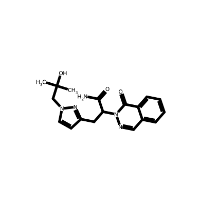 CC(C)(O)Cn1ccc(CC(C(N)=O)n2ncc3ccccc3c2=O)n1